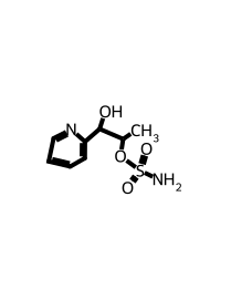 CC(OS(N)(=O)=O)C(O)c1ccccn1